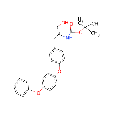 CC(C)(C)OC(=O)N[C@@H](CO)Cc1ccc(Oc2ccc(Oc3ccccc3)cc2)cc1